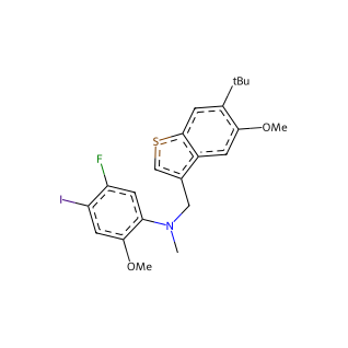 COc1cc(I)c(F)cc1N(C)Cc1csc2cc(C(C)(C)C)c(OC)cc12